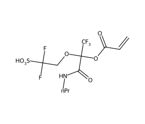 C=CC(=O)OC(OCC(F)(F)S(=O)(=O)O)(C(=O)NCCC)C(F)(F)F